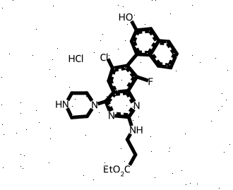 CCOC(=O)CCNc1nc(N2CCNCC2)c2cc(Cl)c(-c3cc(O)cc4ccccc34)c(F)c2n1.Cl